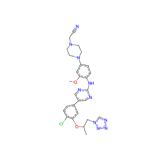 COc1cc(N2CCN(CC#N)CC2)ccc1Nc1ncc(-c2ccc(Cl)c(OC(C)Cn3cnnn3)c2)cn1